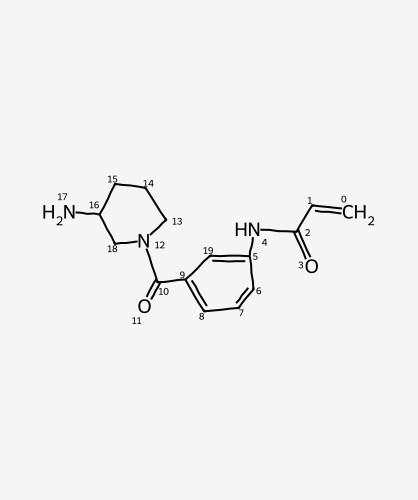 C=CC(=O)Nc1cccc(C(=O)N2CCCC(N)C2)c1